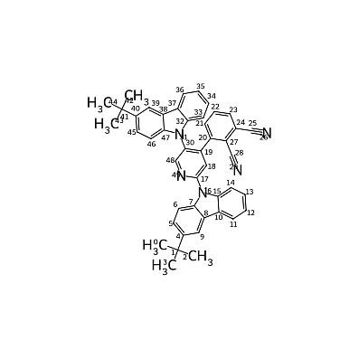 CC(C)(C)c1ccc2c(c1)c1ccccc1n2-c1cc(-c2cccc(C#N)c2C#N)c(-n2c3ccccc3c3cc(C(C)(C)C)ccc32)cn1